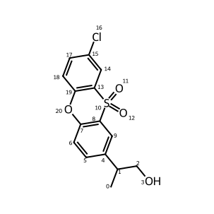 CC(CO)c1ccc2c(c1)S(=O)(=O)c1cc(Cl)ccc1O2